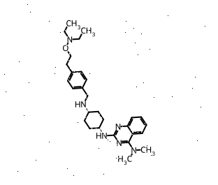 CCN(CC)OCCc1ccc(CN[C@H]2CC[C@@H](Nc3nc(N(C)C)c4ccccc4n3)CC2)cc1